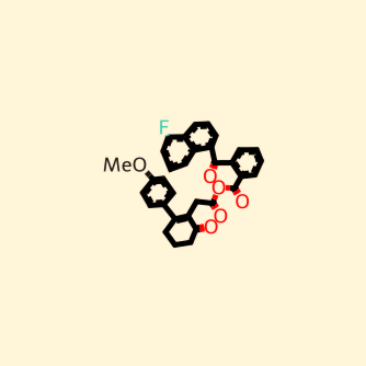 COc1ccc(C2=C(CC(=O)OC(=O)c3ccccc3C(=O)c3cccc4c(F)cccc34)C(=O)CCC2)cc1